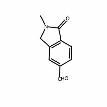 CN1Cc2cc(C=O)ccc2C1=O